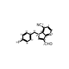 N#Cc1ccnc2c(C=O)cn(Cc3ccc(F)cc3)c12